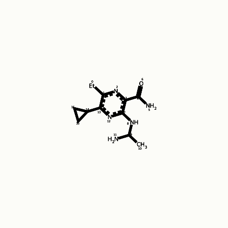 CCc1nc(C(N)=O)c(NC(C)N)nc1C1CC1